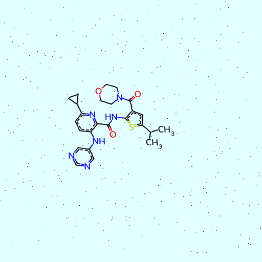 CC(C)c1cc(C(=O)N2CCOCC2)c(NC(=O)c2nc(C3CC3)ccc2Nc2cncnc2)s1